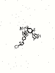 COc1cc(F)c(N2CC(C)NC(C)C2)cc1NS(=O)(=O)c1ccc(-c2ccc(Cl)s2)cc1